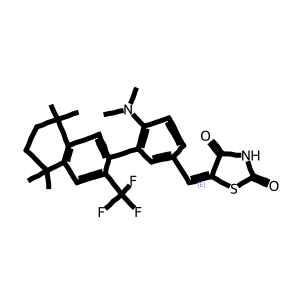 CN(C)c1ccc(/C=C2/SC(=O)NC2=O)cc1-c1cc2c(cc1C(F)(F)F)C(C)(C)CCC2(C)C